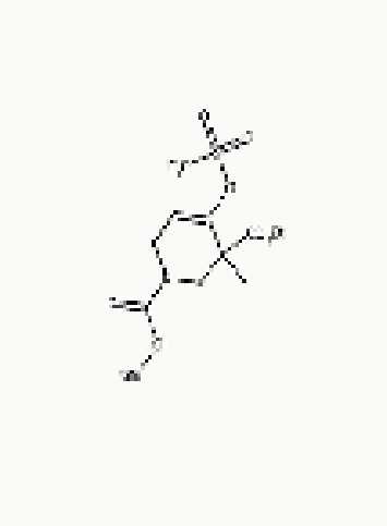 CCOC(=O)C1(C)CN(C(=O)OC(C)(C)C)CC=C1OS(=O)(=O)C(F)(F)F